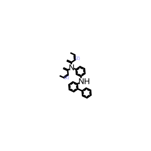 C=C(/C=C\C)N(C(=C)/C=C\C)c1cccc(Nc2ccccc2-c2ccccc2)c1